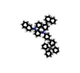 c1ccc([Si](c2ccccc2)(c2ccccc2)c2cccc(-c3ccc(N(c4ccc(-c5cccc6ccccc56)cc4)c4cccc5c4c4ccccc4n5-c4ccc5ccccc5c4)cc3)c2)cc1